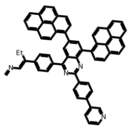 C=N/C=C(\CC)c1ccc(-c2nc(-c3ccc(-c4cccnc4)cc3)nc3c(-c4ccc5ccc6cccc7ccc4c5c67)cc(-c4ccc5ccc6cccc7ccc4c5c67)cc23)cc1